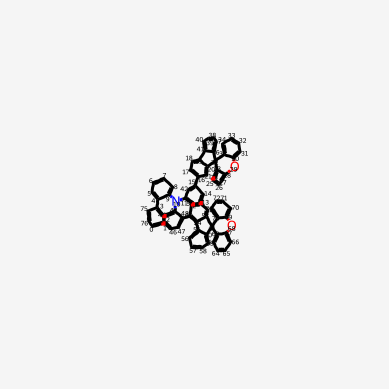 c1ccc(-c2ccccc2N(c2cccc(-c3ccc4c(c3)C3(c5ccccc5Oc5ccccc53)c3ccccc3-4)c2)c2ccccc2-c2cccc3c2-c2ccccc2C32c3ccccc3Oc3ccccc32)cc1